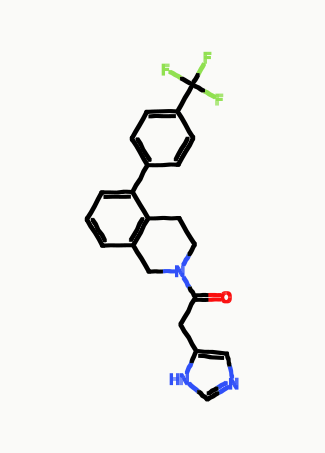 O=C(Cc1cnc[nH]1)N1CCc2c(cccc2-c2ccc(C(F)(F)F)cc2)C1